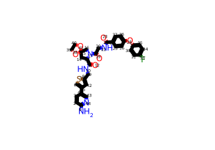 Nc1ccc(-c2csc(CNC(=O)C3CC4(CN3C(=O)CNC(=O)c3ccc(Oc5ccc(F)cc5)cc3)OCCO4)c2)cn1